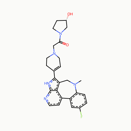 CN1Cc2c(C3=CCN(CC(=O)N4CC[C@H](O)C4)CC3)[nH]c3nccc(c23)-c2cc(F)ccc21